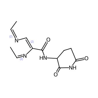 C\C=N/C=C(\N=C/C)C(=O)NC1CCC(=O)NC1=O